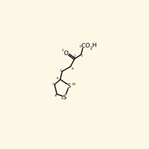 O=C(O)CC(=O)CCC1CCSS1